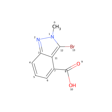 Cn1nc2cccc(C(=O)O)c2c1Br